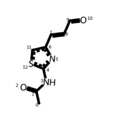 CC(=O)Nc1nc(C=CC=O)cs1